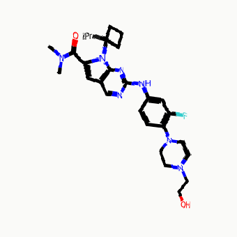 CC(C)C1(n2c(C(=O)N(C)C)cc3cnc(Nc4ccc(N5CCN(CCO)CC5)c(F)c4)nc32)CCC1